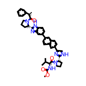 COC(=O)N[C@H](C(=O)N1CCC[C@H]1c1nc(-c2ccc3cc(-c4ccc5[nH]c([C@@H]6CCCN6C(=O)[C@H](C)c6ccccc6)nc5c4)ccc3c2)c[nH]1)C(C)C